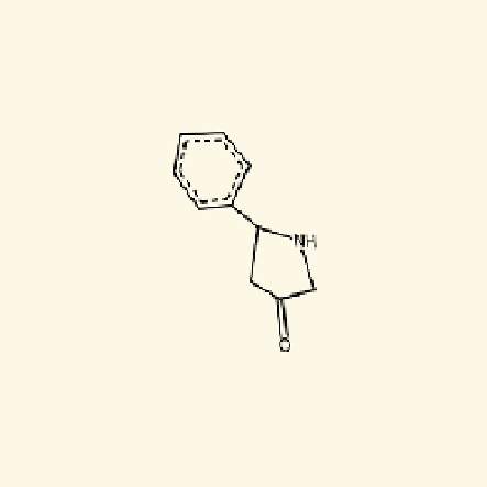 O=C1CNC(c2ccccc2)C1